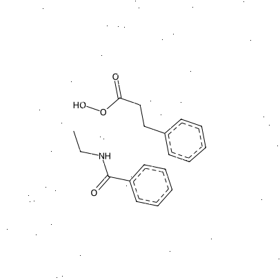 CCNC(=O)c1ccccc1.O=C(CCc1ccccc1)OO